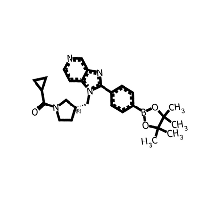 CC1(C)OB(c2ccc(-c3nc4cnccc4n3C[C@@H]3CCN(C(=O)C4CC4)C3)cc2)OC1(C)C